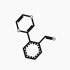 O=Cc1ccccc1C1=COC=CO1